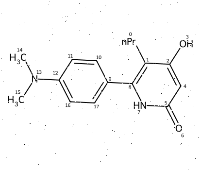 CCCc1c(O)cc(=O)[nH]c1-c1ccc(N(C)C)cc1